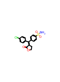 NS(=O)(=O)c1ccc(C(=C2CCOC2=O)c2ccc(Cl)cc2)cc1